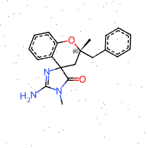 CN1C(=O)C2(C[C@@](C)(Cc3ccccc3)Oc3ccccc32)N=C1N